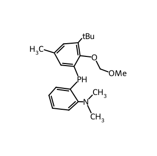 COCOc1c(Pc2ccccc2N(C)C)cc(C)cc1C(C)(C)C